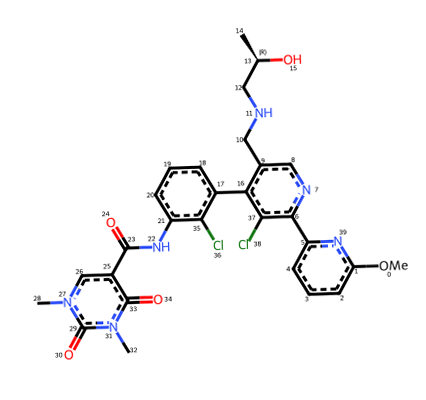 COc1cccc(-c2ncc(CNC[C@@H](C)O)c(-c3cccc(NC(=O)c4cn(C)c(=O)n(C)c4=O)c3Cl)c2Cl)n1